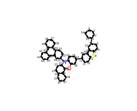 c1ccc(-c2ccc3sc4ccc(-c5ccc6c(c5)Oc5c(ccc7ccccc57)N6c5ccc6c7ccccc7c7ccccc7c6c5)cc4c3c2)cc1